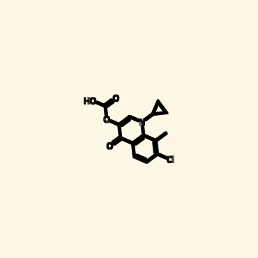 Cc1c(Cl)ccc2c(=O)c(OC(=O)O)cn(C3CC3)c12